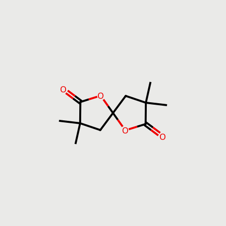 CC1(C)CC2(CC(C)(C)C(=O)O2)OC1=O